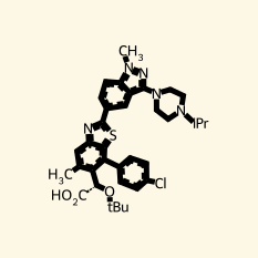 Cc1cc2nc(-c3ccc4c(c3)c(N3CCN(C(C)C)CC3)nn4C)sc2c(-c2ccc(Cl)cc2)c1[C@H](OC(C)(C)C)C(=O)O